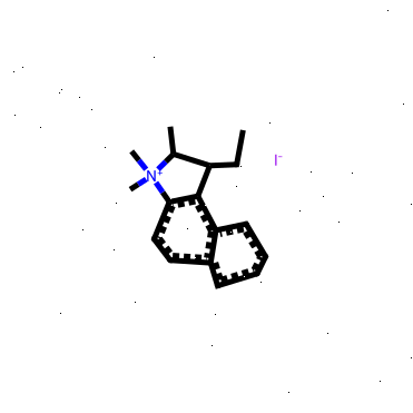 CCC1c2c(ccc3ccccc23)[N+](C)(C)C1C.[I-]